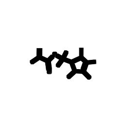 C=C(C)C(=O)OC(C)(C)C1C(C)C(C)=C(C)C1C